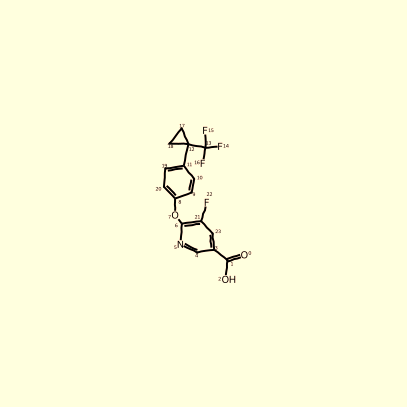 O=C(O)c1cnc(Oc2ccc(C3(C(F)(F)F)CC3)cc2)c(F)c1